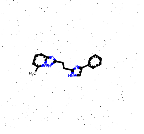 Cc1cccc2nc(CCc3nc(-c4ccccc4)c[nH]3)nn12